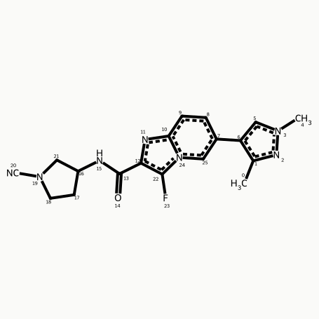 Cc1nn(C)cc1-c1ccc2nc(C(=O)NC3CCN(C#N)C3)c(F)n2c1